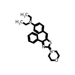 CCN(CC)c1ccc(/C=C2/SC(=[N+]3CCOCC3)N=C2c2ccccc2)cc1